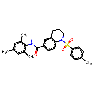 Cc1ccc(S(=O)(=O)N2CCCc3cc(C(=O)Nc4c(C)cc(C)cc4C)ccc32)cc1